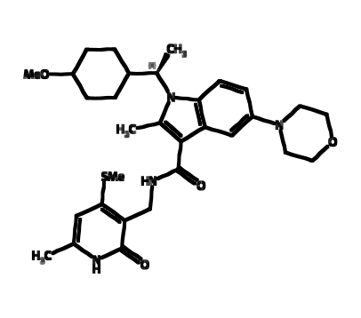 COC1CCC([C@@H](C)n2c(C)c(C(=O)NCc3c(SC)cc(C)[nH]c3=O)c3cc(N4CCOCC4)ccc32)CC1